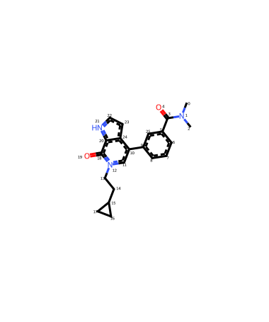 CN(C)C(=O)c1cccc(-c2cn(CCC3CC3)c(=O)c3[nH]ccc23)c1